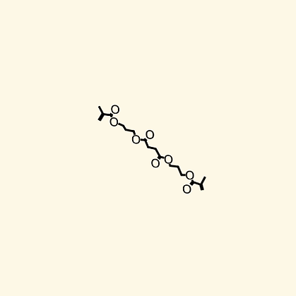 C=C(C)C(=O)OCCCOC(=O)CCC(=O)OCCCOC(=O)C(=C)C